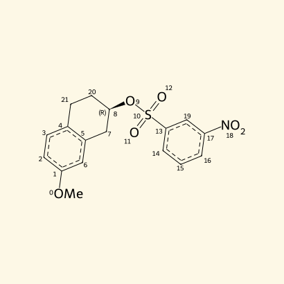 COc1ccc2c(c1)C[C@H](OS(=O)(=O)c1cccc([N+](=O)[O-])c1)CC2